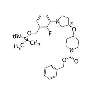 CC(C)(C)[Si](C)(C)OCc1cccc(N2CC[C@@H](OC3CCN(C(=O)OCc4ccccc4)CC3)C2)c1F